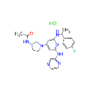 CC(=O)NC1CCN(c2cc(Nc3cnccn3)nc(NC(C)c3ccc(F)cc3)c2)C1.Cl